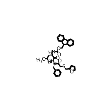 CC(C)C[C@H](NC(=O)OCC1c2ccccc2-c2ccccc21)C(=O)N[C@@H](Cc1ccccc1)C(=O)CSCc1ccco1